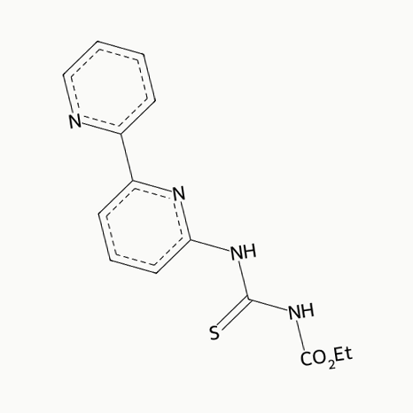 CCOC(=O)NC(=S)Nc1cccc(-c2ccccn2)n1